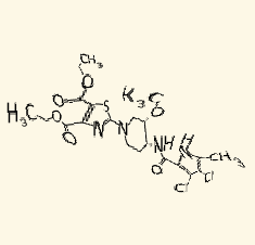 CCOC(=O)c1nc(N2CC[C@@H](NC(=O)c3[nH]c(C)c(Cl)c3Cl)[C@@H](OC)C2)sc1C(=O)OCC